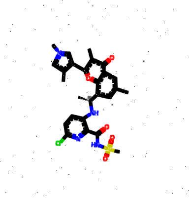 Cc1cc([C@@H](C)Nc2ccc(Cl)nc2C(=O)NS(C)(=O)=O)c2oc(-c3cn(C)cc3C)c(C)c(=O)c2c1